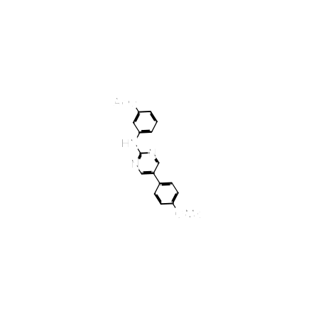 COc1ccc(-c2cnc(Nc3cccc(OC(C)=O)c3)nc2)cc1